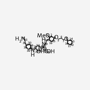 COc1cc(OCCCOc2ccccc2)ccc1CCNC(=O)N1CCC(Nc2ccc(CCN)cc2)CC1.O=CO